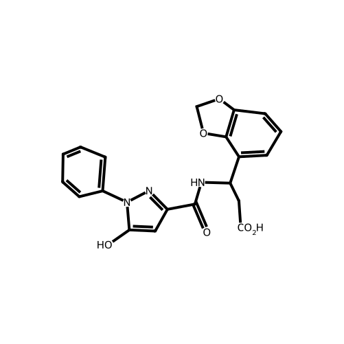 O=C(O)CC(NC(=O)c1cc(O)n(-c2ccccc2)n1)c1cccc2c1OCO2